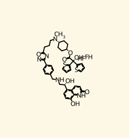 CN(CCCc1nc(-c2ccc(CNC[C@H](O)c3ccc(O)c4[nH]c(=O)ccc34)cc2)no1)[C@H]1CC[C@H](OC(=O)C(O)(c2cccs2)c2cccs2)CC1.F.F